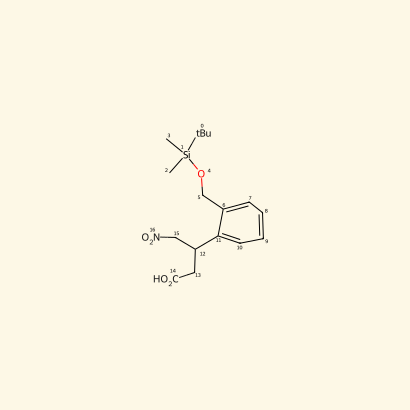 CC(C)(C)[Si](C)(C)OCc1ccccc1C(CC(=O)O)C[N+](=O)[O-]